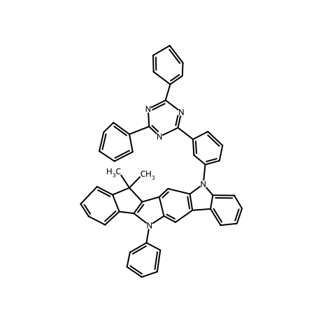 CC1(C)c2ccccc2-c2c1c1cc3c(cc1n2-c1ccccc1)c1ccccc1n3-c1cccc(-c2nc(-c3ccccc3)nc(-c3ccccc3)n2)c1